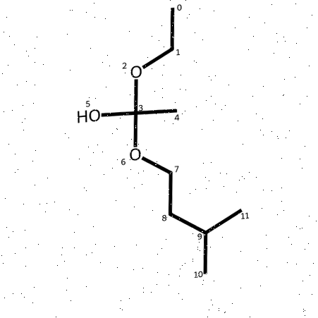 CCOC(C)(O)OCCC(C)C